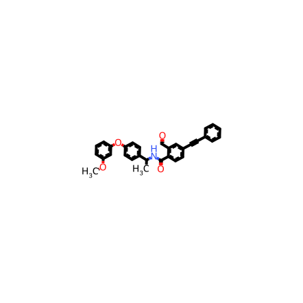 COc1cccc(Oc2ccc(C(C)NC(=O)c3ccc(C#Cc4ccccc4)cc3C=O)cc2)c1